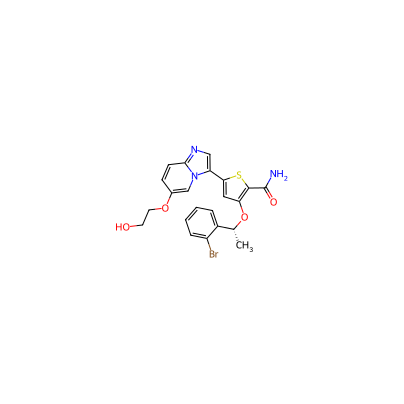 C[C@@H](Oc1cc(-c2cnc3ccc(OCCO)cn23)sc1C(N)=O)c1ccccc1Br